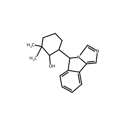 CC1(C)CCCC(C2c3ccccc3-c3cncn32)C1O